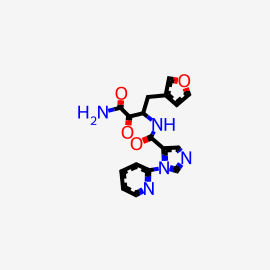 NC(=O)C(=O)C(Cc1ccoc1)NC(=O)c1cncn1-c1ccccn1